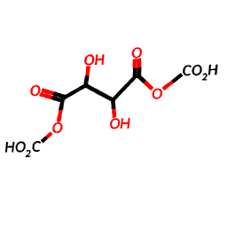 O=C(O)OC(=O)C(O)C(O)C(=O)OC(=O)O